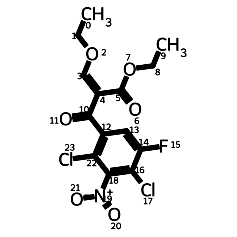 CCO/C=C(\C(=O)OCC)C(=O)c1cc(F)c(Cl)c([N+](=O)[O-])c1Cl